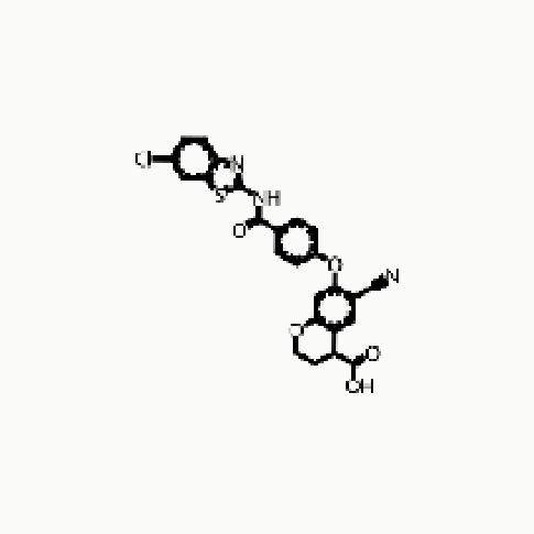 N#Cc1cc2c(cc1Oc1ccc(C(=O)Nc3nc4ccc(Cl)cc4s3)cc1)OCCC2C(=O)O